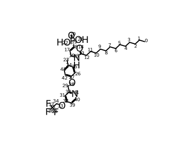 CCCCCCCCCCCCCC(=O)N[C@@H](/C=C/P(=O)(O)O)Cc1ccc(OCc2cc(OCC(F)(F)F)ccn2)cc1